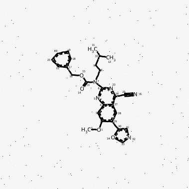 COc1cc2nc(N(CCC(C)C)C(=O)OCc3ccccc3)nc(C#N)c2cc1-c1cnco1